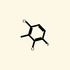 Cc1c(Cl)ccc(F)c1Cl